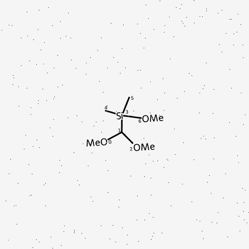 COC(OC)[Si](C)(C)OC